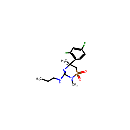 CCCNC1=N[C@](C)(c2ccc(F)cc2F)CS(=O)(=O)N1C